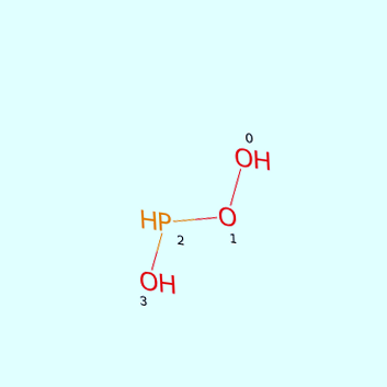 OOPO